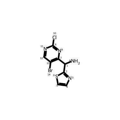 NC(c1nccs1)c1nc(Cl)ncc1Br